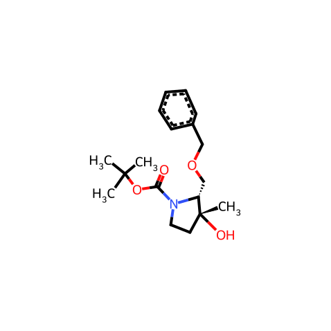 CC(C)(C)OC(=O)N1CC[C@@](C)(O)[C@H]1COCc1ccccc1